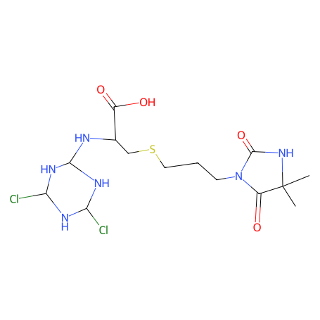 CC1(C)NC(=O)N(CCCSCC(NC2NC(Cl)NC(Cl)N2)C(=O)O)C1=O